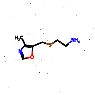 Cc1ncoc1CSCCN